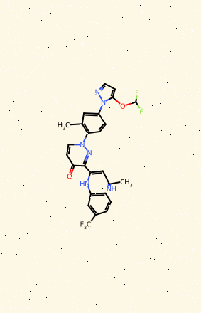 CC(=N)/C=C(\Nc1cccc(C(F)(F)F)c1)c1nn(-c2ccc(-n3nccc3OC(F)F)cc2C)ccc1=O